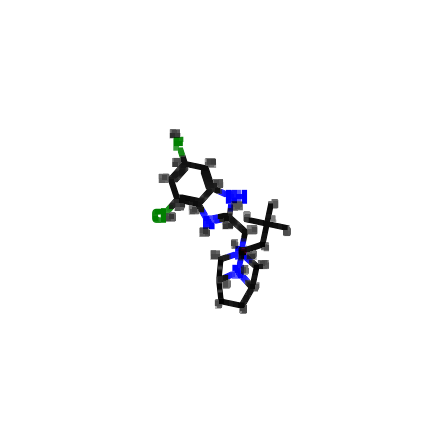 CC(C)(C)CCN1C2CCC1CN(Cc1nc3c(Cl)cc(F)cc3[nH]1)C2